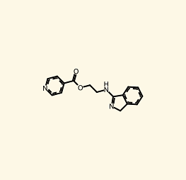 O=C(OCCNC1=NCc2ccccc21)c1ccncc1